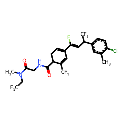 Cc1cc(C(/C=C(\F)C2=CCC(C(=O)NCC(=O)N(C)CC(F)(F)F)C(C(F)(F)F)=C2)C(F)(F)F)ccc1Cl